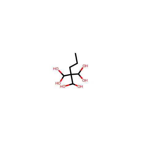 CCCC(C(O)O)(C(O)O)C(O)O